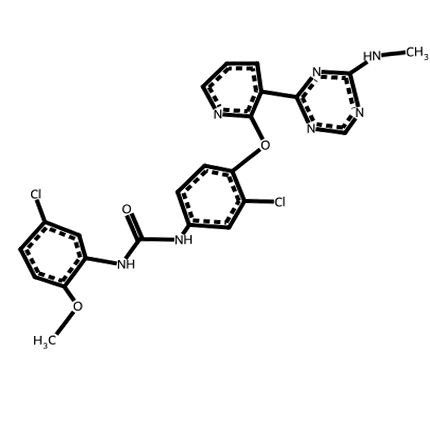 CNc1ncnc(-c2cccnc2Oc2ccc(NC(=O)Nc3cc(Cl)ccc3OC)cc2Cl)n1